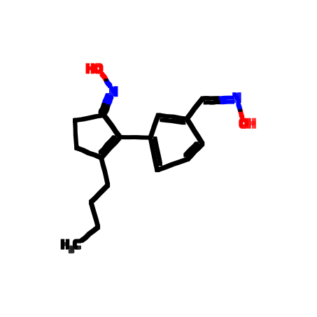 CCCCC1=C(c2cccc(/C=N\O)c2)/C(=N/O)CC1